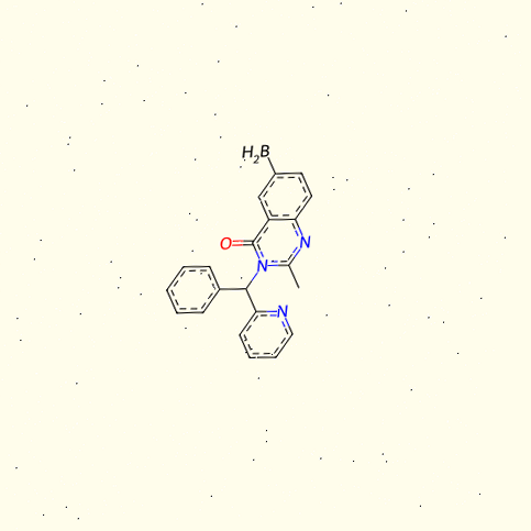 Bc1ccc2nc(C)n(C(c3ccccc3)c3ccccn3)c(=O)c2c1